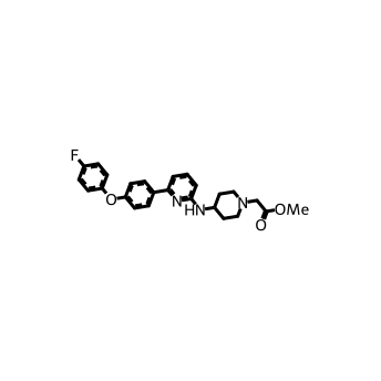 COC(=O)CN1CCC(Nc2cccc(-c3ccc(Oc4ccc(F)cc4)cc3)n2)CC1